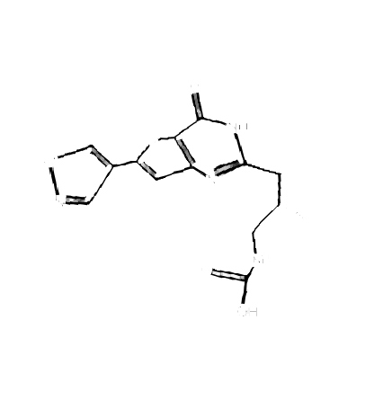 C[C@H](CNC(=O)O)Cc1nc2cc(-c3cnoc3)sc2c(=O)[nH]1